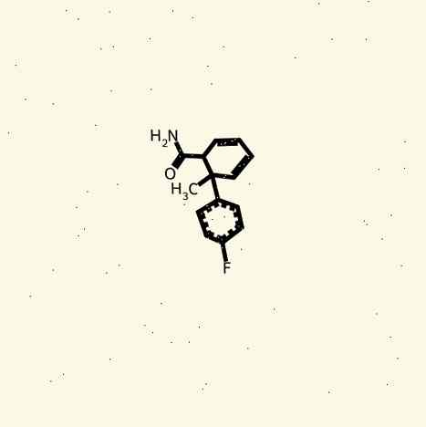 CC1(c2ccc(F)cc2)C=CC=CC1C(N)=O